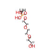 O=P(O)(O)OCCOCCOCCO.[LiH]